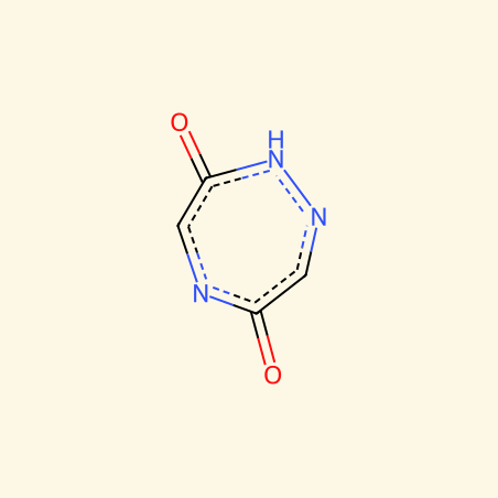 O=c1cn[nH]c(=O)cn1